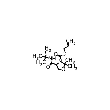 C=CCOC(=O)N1C(C(=O)NC(C)(C)C)COC1(C)C